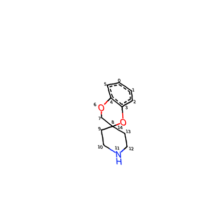 c1ccc2c(c1)OCC1(CCNCC1)O2